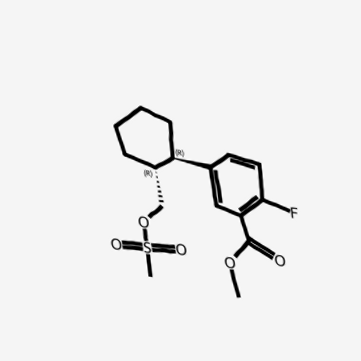 COC(=O)c1cc([C@@H]2CCCC[C@H]2COS(C)(=O)=O)ccc1F